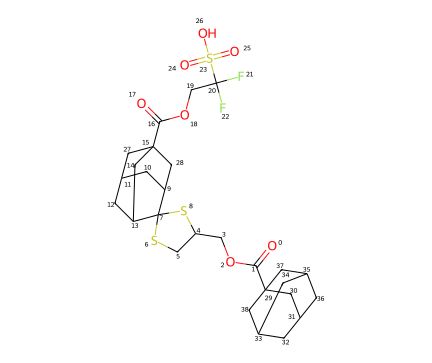 O=C(OCC1CSC2(S1)C1CC3CC2CC(C(=O)OCC(F)(F)S(=O)(=O)O)(C3)C1)C12CC3CC(CC(C3)C1)C2